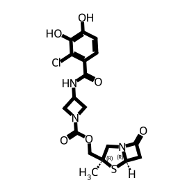 C[C@]1(COC(=O)N2CC(NC(=O)c3ccc(O)c(O)c3Cl)C2)CN2C(=O)C[C@H]2S1